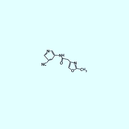 Cc1nc(CC(=O)Nc2cncc(C#N)c2)co1